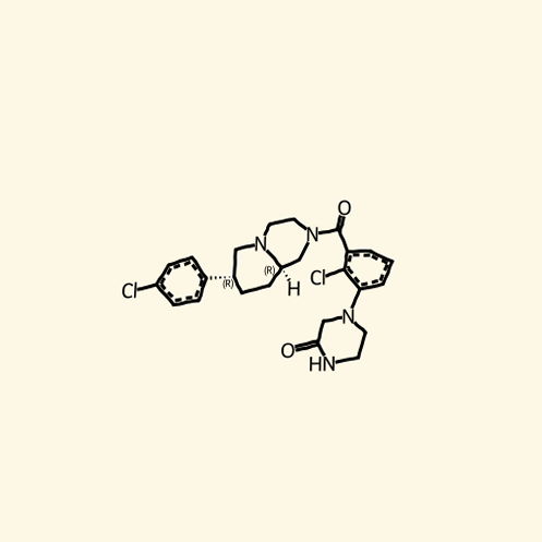 O=C1CN(c2cccc(C(=O)N3CCN4C[C@@H](c5ccc(Cl)cc5)CC[C@@H]4C3)c2Cl)CCN1